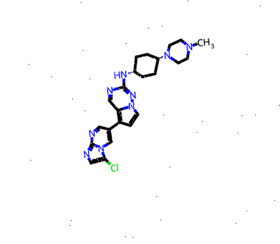 CN1CCN([C@H]2CC[C@@H](Nc3ncc4c(-c5cnc6ncc(Cl)n6c5)ccn4n3)CC2)CC1